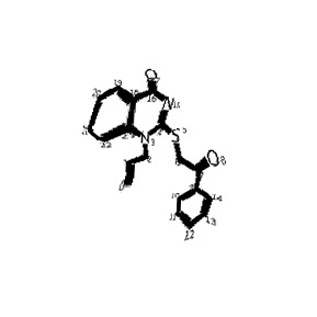 C=CCn1c(SCC(=O)c2ccccc2)nc(=O)c2ccccc21